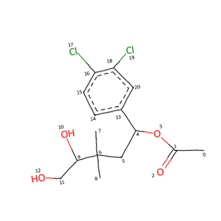 CC(=O)OC(CC(C)(C)C(O)CO)c1ccc(Cl)c(Cl)c1